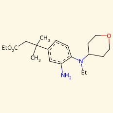 CCOC(=O)CC(C)(C)c1ccc(N(CC)C2CCOCC2)c(N)c1